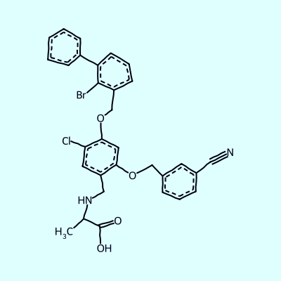 CC(NCc1cc(Cl)c(OCc2cccc(-c3ccccc3)c2Br)cc1OCc1cccc(C#N)c1)C(=O)O